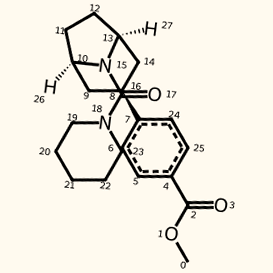 COC(=O)c1ccc([C@H]2C[C@H]3CC[C@@H](C2)N3C(=O)N2CCCCC2)cc1